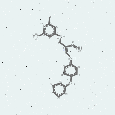 Cc1cc(NC/C(=C/Nc2ccc(Oc3ccccc3)cc2)N=N)cc(C(F)(F)F)n1